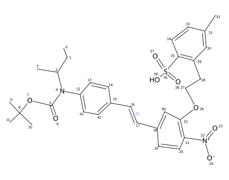 CCC(C)N(C(=O)OC(C)(C)C)c1ccc(/C=C/c2ccc([N+](=O)[O-])c(OCCc3cc(C)ccc3S(=O)(=O)O)c2)cc1